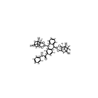 CC1(C)[C@@H]2CC3OB(C4c5ccccc5C(B5OC6C[C@@H]7C[C@@H](C7(C)C)[C@]6(C)O5)c5cc(C(=O)Nc6ccccc6)ccc54)O[C@@]3(C)[C@H]1C2